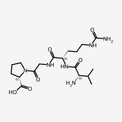 CC(C)[C@H](N)C(=O)N[C@@H](CCCNC(N)=O)C(=O)NCC(=O)N1CCC[C@H]1C(=O)O